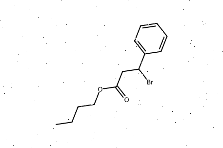 CCCCOC(=O)CC(Br)c1ccccc1